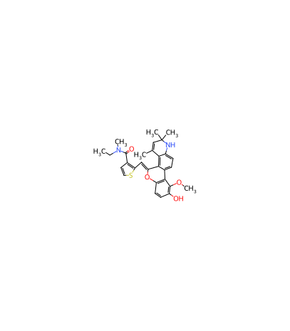 CCN(C)C(=O)c1ccsc1/C=C1\Oc2ccc(O)c(OC)c2-c2ccc3c(c21)C(C)=CC(C)(C)N3